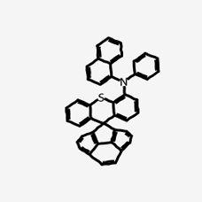 c1ccc(N(c2cccc3c2Sc2ccccc2C32c3cccc4ccc5cccc2c5c34)c2cccc3ccccc23)cc1